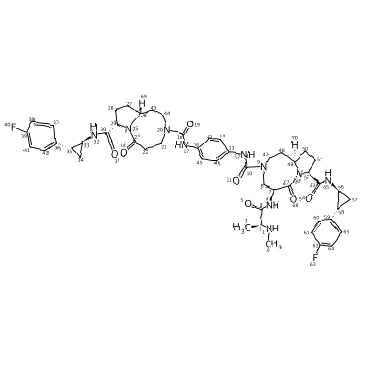 CN[C@@H](C)C(=O)N[C@H]1CN(C(=O)Nc2ccc(NC(=O)N3CCC(=O)N4[C@H](CC[C@H]4C(=O)N[C@H]4C[C@@H]4c4ccc(F)cc4)CC3)cc2)CC[C@H]2CC[C@@H](C(=O)N[C@H]3C[C@@H]3c3ccc(F)cc3)N2C1=O